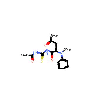 COC(=O)CC(C(=O)NC(=S)NC(=O)OC)N(SC)c1ccccc1